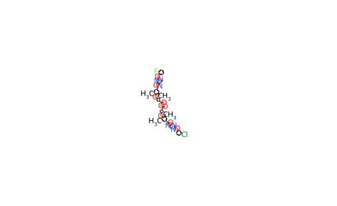 Cc1cc(-c2nc3cnc(Oc4cccc(Cl)c4)nc3o2)cc(C)c1OC1CC(C(=O)OC(=O)C2CC(Oc3c(C)cc(-c4nc5cnc(Oc6ccccc6F)nc5o4)cc3C)C2)C1